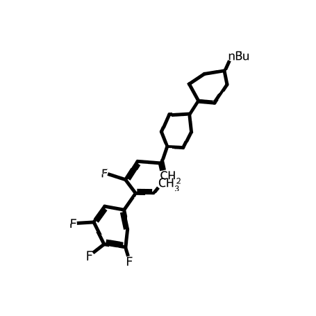 C=C(/C=C(F)\C(=C/C)c1cc(F)c(F)c(F)c1)C1CCC(C2CCC(CCCC)CC2)CC1